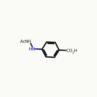 CC(=O)NNc1ccc(C(=O)O)cc1